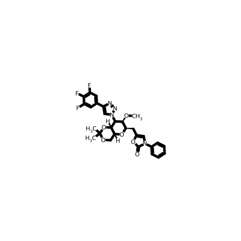 CO[C@@H]1C(n2cc(-c3cc(F)c(F)c(F)c3)nn2)[C@H]2OC(C)(C)OC[C@H]2O[C@@H]1Cc1cn(-c2ccccc2)c(=O)o1